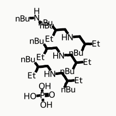 CCCCC(CC)CNCC(CC)CCCC.CCCCC(CC)CNCC(CC)CCCC.CCCCC(CC)CNCC(CC)CCCC.CCCCNCCCC.O=P(O)(O)O